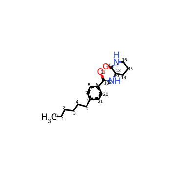 CCCCCCc1ccc(C(=O)N[C@@H]2CCCNC2=O)cc1